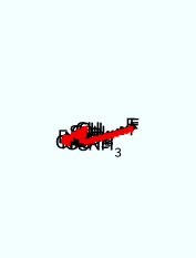 CC(C)(C)[Si](C)(C)OC1CC(n2cc(F)c(=O)[nH]c2=O)OC1COP(=O)(O)OCCOCCCCCCCCCCCCCCCC(F)(F)F.N